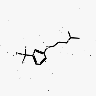 CC(C)CCCOc1cccc(C(F)(F)F)c1